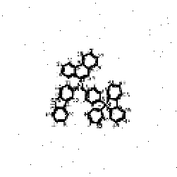 c1ccc(C2(c3ccc(N(c4ccc5sc6ccccc6c5c4)c4cc5ccccc5c5ccccc45)cc3)c3ccccc3-c3ccccc32)cc1